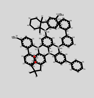 CC1(C)Cc2cc3c(cc2C1)N(c1ccc(C(C)(C)C)cc1-c1ccccc1)c1cc(N2c4ccc(C(C)(C)C)cc4C4(C)CCCCC24C)cc2c1B3c1ccc(-c3ccccc3)cc1N2c1cccc(-c2ccccc2)c1